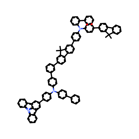 CC1(C)c2ccccc2-c2ccc(-c3ccc(N(c4ccc(-c5ccc6c(c5)C(C)(C)c5cc(-c7cccc(-c8ccc(N(c9ccc(-c%10ccccc%10)cc9)c9ccc(-c%10cc%11c%12ccccc%12n%12c%13ccccc%13c(c%10)c%11%12)cc9)cc8)c7)ccc5-6)cc4)c4ccccc4-c4ccccc4)cc3)cc21